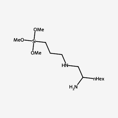 CCCCCCC(N)CNCCC[Si](OC)(OC)OC